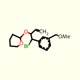 C=CC(OC1CCCCO1)C(Br)c1cccc(COC)c1